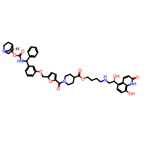 O=C(NC(c1ccccc1)c1cccc(OCc2ccc(C(=O)N3CCC(C(=O)OCCCCNC[C@@H](O)c4ccc(O)c5[nH]c(=O)ccc45)CC3)o2)c1)O[C@H]1CN2CCC1CC2